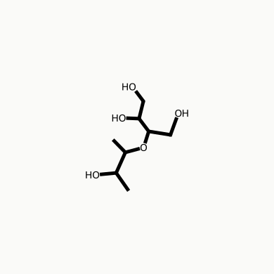 CC(O)C(C)OC(CO)C(O)CO